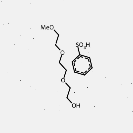 COCCOCCOCCO.O=S(=O)(O)c1ccccc1